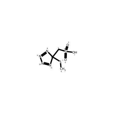 CSC1(CS(=O)(=O)O)N=NN=N1